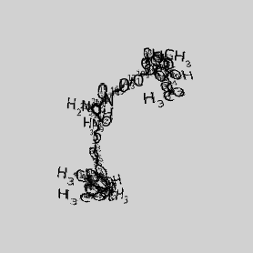 CC(=O)OC[C@H]1O[C@H](OCCOCCOCCNC(=O)c2cc(N)cc(C(=O)NCCOCCOCCO[C@H]3O[C@H](C)[C@@H](OC(C)=O)[C@H](OC(C)=O)[C@@H]3O)c2)[C@@H](OC(C)=O)[C@@H](OC(C)=O)[C@@H]1O